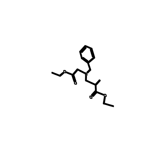 CCOC(=O)CN(Cc1ccccc1)CC(C)C(=O)OCC